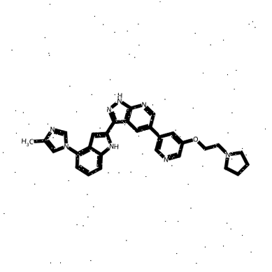 Cc1cn(-c2cccc3[nH]c(-c4n[nH]c5ncc(-c6cncc(OCCN7CCCC7)c6)cc45)cc23)cn1